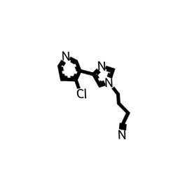 N#CCCCn1cnc(-c2cnccc2Cl)c1